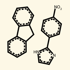 O=[N+]([O-])c1ccc(-c2ncc[nH]2)cc1.c1ccc2c(c1)Cc1ccccc1-2